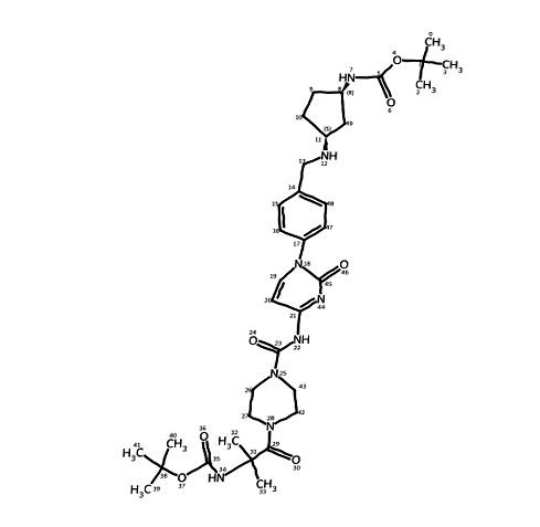 CC(C)(C)OC(=O)N[C@@H]1CC[C@H](NCc2ccc(-n3ccc(NC(=O)N4CCN(C(=O)C(C)(C)NC(=O)OC(C)(C)C)CC4)nc3=O)cc2)C1